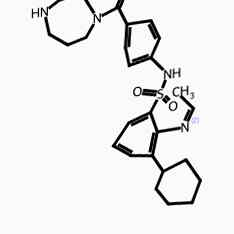 C/C=N\c1c(C2CCCCC2)cccc1S(=O)(=O)Nc1ccc(C(=O)N2CCCNCC2)cc1